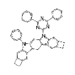 C1=C2C(Cc3c1n(-c1nc(-c4ccccc4)nc(-c4ccccc4)n1)c1cc4c(cc31)CC4)c1cc3c(cc1N2c1ccccc1)CC3